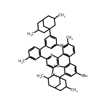 Cc1ccc(-c2cc(C(C)(C)C)cc(C34CC(C)CC(CC(C)C3)C4)c2)c(-c2cc(C(F)(F)F)cc(-c3cc(C)ccc3-c3cc(C(C)(C)C)cc(C45CC(C)CC(CC(C)C4)C5)c3O)n2)c1